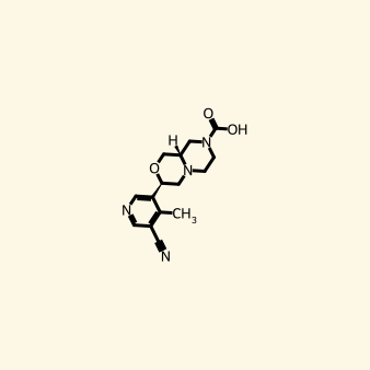 Cc1c(C#N)cncc1[C@@H]1CN2CCN(C(=O)O)C[C@H]2CO1